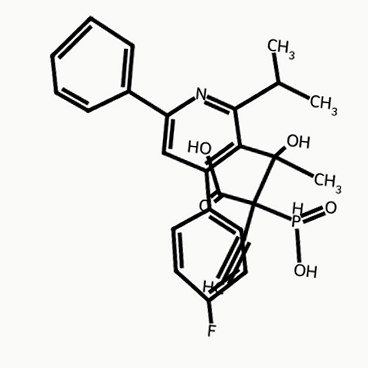 C#CC(C(=O)O)([PH](=O)O)C(C)(O)c1c(-c2ccc(F)cc2)cc(-c2ccccc2)nc1C(C)C